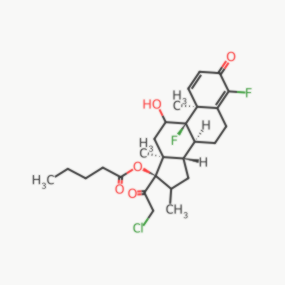 CCCCC(=O)O[C@]1(C(=O)CCl)C(C)C[C@H]2[C@@H]3CCC4=C(F)C(=O)C=C[C@]4(C)[C@@]3(F)C(O)C[C@@]21C